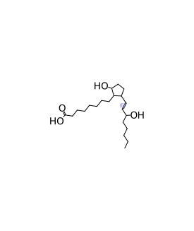 CCCCCC(O)/C=C/C1CCC(O)C1CCCCCCCC(=O)O